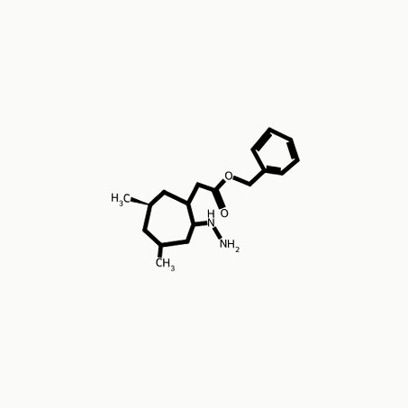 CC1CC(NN)C(CC(=O)OCc2ccccc2)C[C@H](C)C1